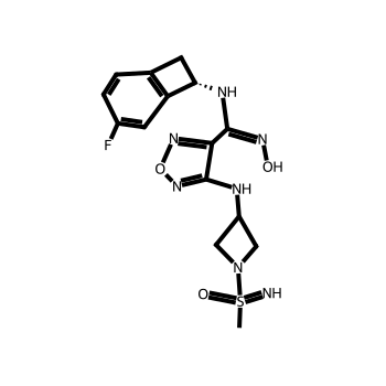 CS(=N)(=O)N1CC(Nc2nonc2/C(=N\O)N[C@H]2Cc3ccc(F)cc32)C1